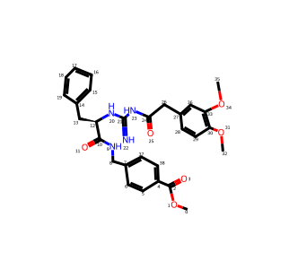 COC(=O)c1ccc(CNC(=O)[C@@H](Cc2ccccc2)NC(=N)NC(=O)Cc2ccc(OC)c(OC)c2)cc1